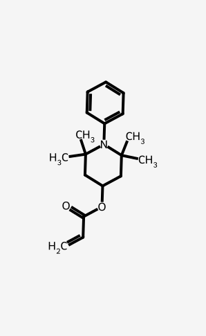 C=CC(=O)OC1CC(C)(C)N(c2ccccc2)C(C)(C)C1